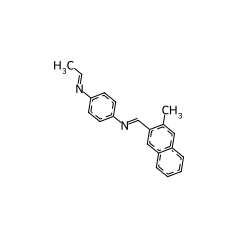 CC=Nc1ccc(N=Cc2cc3ccccc3cc2C)cc1